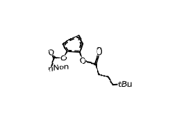 CCCCCCCCCC(=O)Oc1ccccc1OC(=O)CCCC(C)(C)C